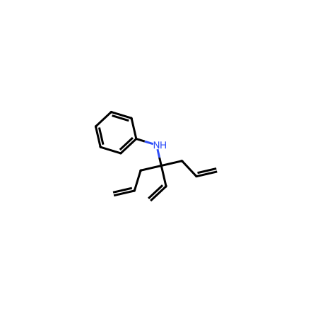 C=CCC(C=C)(CC=C)Nc1ccccc1